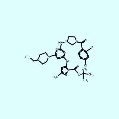 CCN1CCN(c2cc(Nc3cc(C)nn3C(=O)OC(C)(C)C)nc(N[C@H]3CCN(C(=O)c4ccc(Cl)cc4F)C3)n2)CC1